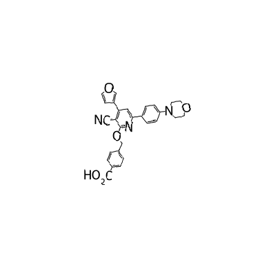 N#Cc1c(-c2ccoc2)cc(-c2ccc(N3CCOCC3)cc2)nc1OCc1ccc(C(=O)O)cc1